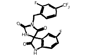 O=C1NC2(C(=O)Nc3ccc(F)cc32)C(=O)N1Cc1ccc(C(F)(F)F)cc1F